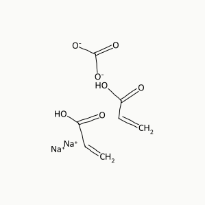 C=CC(=O)O.C=CC(=O)O.O=C([O-])[O-].[Na+].[Na+]